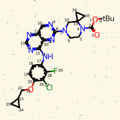 CC(C)(C)OC(=O)N1CCN(c2ncc3ncnc(Nc4ccc(OCC5CC5)c(Cl)c4F)c3n2)CC12CC2